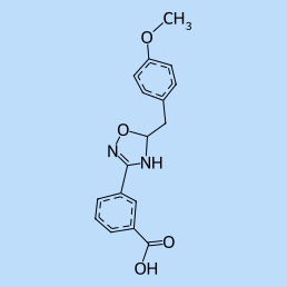 COc1ccc(CC2NC(c3cccc(C(=O)O)c3)=NO2)cc1